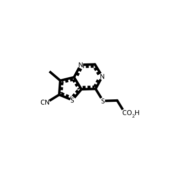 [C-]#[N+]c1sc2c(SCC(=O)O)ncnc2c1C